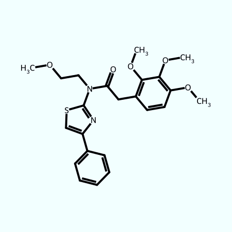 COCCN(C(=O)Cc1ccc(OC)c(OC)c1OC)c1nc(-c2ccccc2)cs1